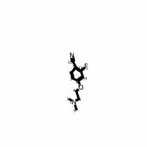 CN(C)CCOc1ccc(C#N)c(F)c1